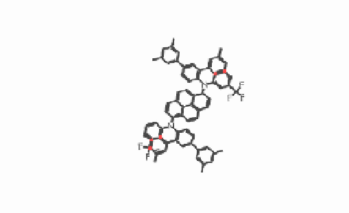 Cc1cc(C)cc(-c2ccc(N(C3=C4C=CC5=C6C(=CC=C(C=C3)C46)C(N(c3cccc(C(F)(F)F)c3)c3ccc(-c4cc(C)cc(C)c4)cc3-c3cc(C)cc(C)c3)C=C5)c3cccc(C(F)(F)F)c3)c(-c3cc(C)cc(C)c3)c2)c1